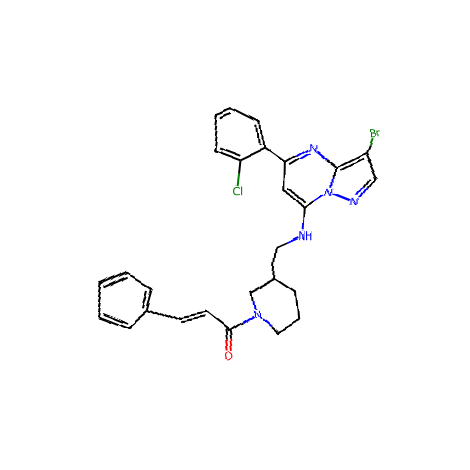 O=C(/C=C/c1ccccc1)N1CCCC(CNc2cc(-c3ccccc3Cl)nc3c(Br)cnn23)C1